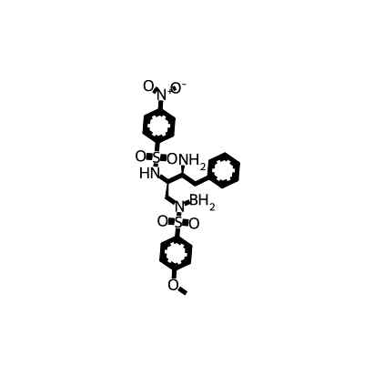 BN(C[C@@H](NS(=O)(=O)c1ccc([N+](=O)[O-])cc1)[C@@H](N)Cc1ccccc1)S(=O)(=O)c1ccc(OC)cc1